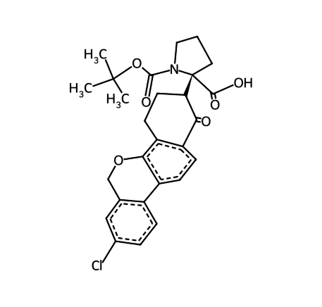 CC(C)(C)OC(=O)N1CCC[C@@]1(C(=O)O)C1CCc2c(ccc3c2OCc2cc(Cl)ccc2-3)C1=O